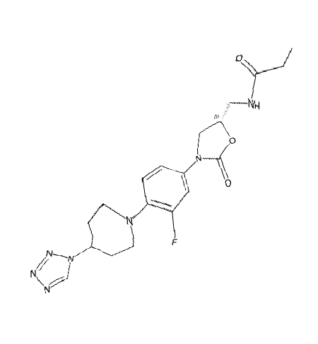 CCC(=O)NC[C@H]1CN(c2ccc(N3CCC(n4cnnn4)CC3)c(F)c2)C(=O)O1